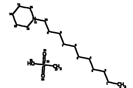 CCCCCCCCCCCN1CCCCC1.CS(=O)(=O)O